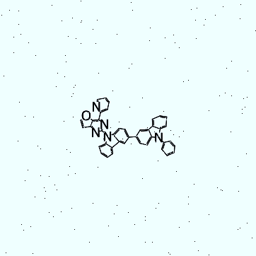 c1ccc(-n2c3ccccc3c3cc(-c4ccc5c(c4)c4ccccc4n5-c4nc(-c5ccccn5)c5occc5n4)ccc32)cc1